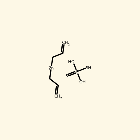 C=C[CH2][Zn][CH2]C=C.OP(O)(=S)S